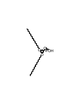 CCCCCCCCC=CCCCCCCCCOc1cc(OCCCCCCCCC=CCCCCCCCC)cc(C2OCC(CO)O2)c1